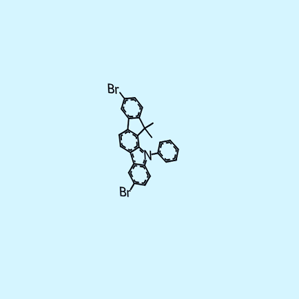 CC1(C)c2ccc(Br)cc2-c2ccc3c4cc(Br)ccc4n(-c4ccccc4)c3c21